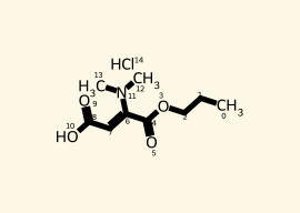 CCCOC(=O)/C(=C/C(=O)O)N(C)C.Cl